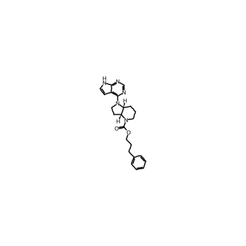 O=C(OCCCc1ccccc1)N1CCC[C@@H]2[C@H]1CCN2c1ncnc2[nH]ccc12